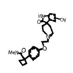 CNC(=O)C1(c2ccc(OCCN3CCC4(CC3)C(=O)Nc3ccc(C#N)cc34)cc2)CCC1